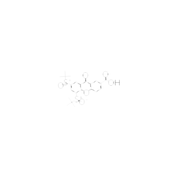 CC(C)(C)[S+]([O-])c1cc([S+]([O-])C(C)(C)C)c2oc3ccc(C(=O)O)cc3c(=O)c2c1